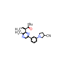 C/C=C(/C(=O)C(C)(C)C)c1nc(-c2cccc(N3CCC(C#N)C3)c2)cnc1C